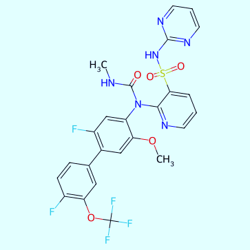 CNC(=O)N(c1cc(F)c(-c2ccc(F)c(OC(F)(F)F)c2)cc1OC)c1ncccc1S(=O)(=O)Nc1ncccn1